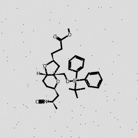 [C-]#[N+][C@H](C)C[C@H]1CC[C@@H]2O[C@@H](CCC(=O)OC)C[C@]2(CO[Si](c2ccccc2)(c2ccccc2)C(C)(C)C)O1